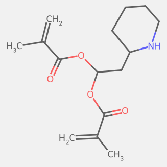 C=C(C)C(=O)OC(CC1CCCCN1)OC(=O)C(=C)C